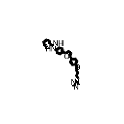 N=C(Nc1ccc(-c2ccc(-c3ccc(OCCCCn4cncn4)cc3)o2)cc1)c1ccccn1